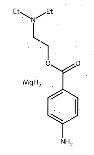 CCN(CC)CCOC(=O)c1ccc(N)cc1.[MgH2]